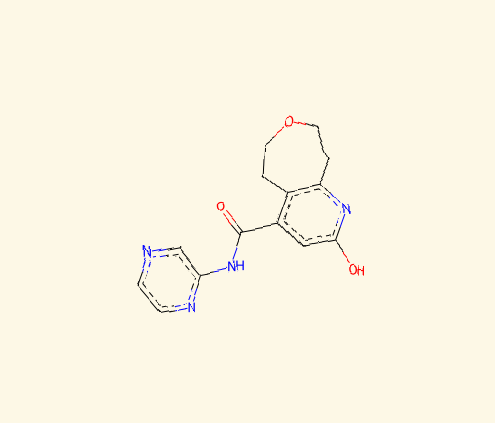 O=C(Nc1cnccn1)c1cc(O)nc2c1CCOCC2